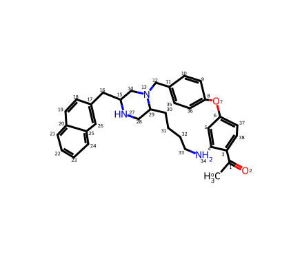 CC(=O)c1ccc(Oc2ccc(CN3CC(Cc4ccc5ccccc5c4)NCC3CCCCN)cc2)cc1